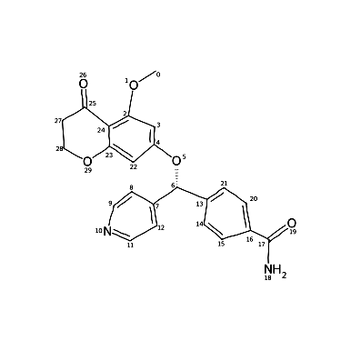 COc1cc(O[C@@H](c2ccncc2)c2ccc(C(N)=O)cc2)cc2c1C(=O)CCO2